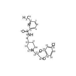 Cc1cccc(C(=O)NCC2CCN(CC3COc4ccc(Cl)cc4O3)CC2)n1